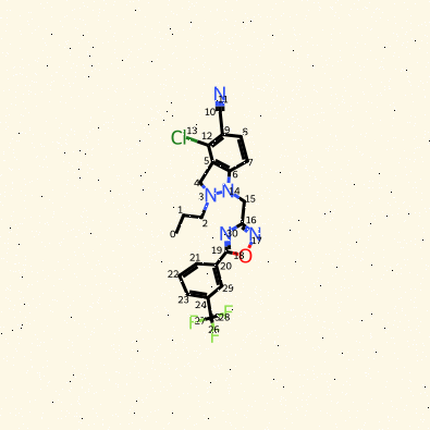 CCCN1Cc2c(ccc(C#N)c2Cl)N1Cc1noc(-c2cccc(C(F)(F)F)c2)n1